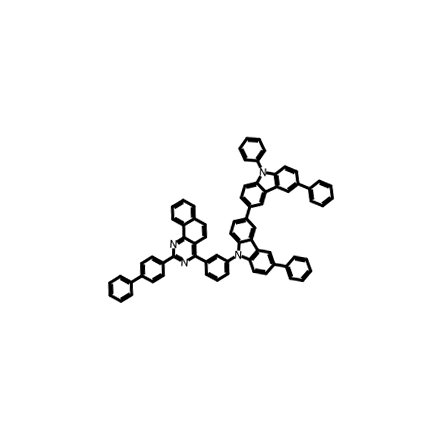 c1ccc(-c2ccc(-c3nc(-c4cccc(-n5c6ccc(-c7ccccc7)cc6c6cc(-c7ccc8c(c7)c7cc(-c9ccccc9)ccc7n8-c7ccccc7)ccc65)c4)c4ccc5ccccc5c4n3)cc2)cc1